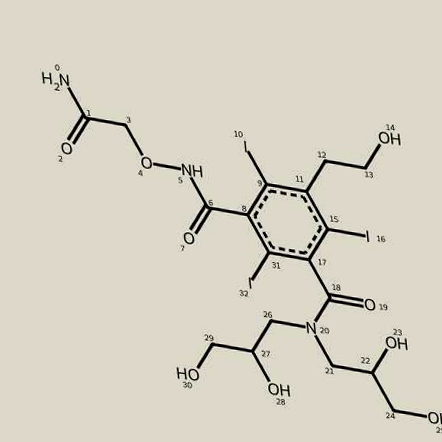 NC(=O)CONC(=O)c1c(I)c(CCO)c(I)c(C(=O)N(CC(O)CO)CC(O)CO)c1I